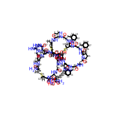 CC(C)[C@@H]1NC(=O)[C@H](Cc2ccccc2)NC(=O)[C@H]2NC(=O)[C@H](Cc3ccccc3)NC(=O)[C@@H]3CCCN3C(=O)CNC(=O)[C@H](Cc3ccccc3)NC(=O)[C@@H]3CNCCCC[C@@H](C(=O)O)NC(=O)C4NC(=O)[C@H](CC(N)=O)NC(=O)CNC(=O)[C@H]([C@@H](O)C(=O)O)NC(=O)[C@H](CSC[C@H](NC(=O)[C@H](CCC(N)=O)NC(=O)[C@H](CCCNC(=N)N)NC(=O)[C@@H](N)CS[C@@H]4C)C(=O)N[C@@H](CSC2C)C(=O)N3)NC1=O